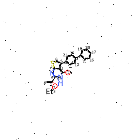 C=C(OCC)c1nc2scc(-c3ccc(-c4ccccc4)cc3)c2c(=O)[nH]1